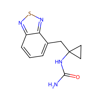 NC(=O)NC1(Cc2cccc3nsnc23)CC1